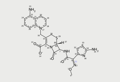 CO/N=C(\C(=O)NC1C(=O)N2C(C(=O)[O-])=C(C[n+]3cccc4c(N)cccc43)CS[C@H]12)c1csc(N)n1